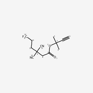 C#CC(C)(C)OC(=O)CC(C#N)(C#N)CCC(F)(F)F